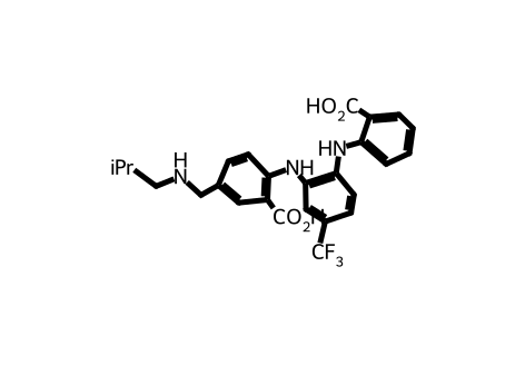 CC(C)CNCc1ccc(Nc2cc(C(F)(F)F)ccc2Nc2ccccc2C(=O)O)c(C(=O)O)c1